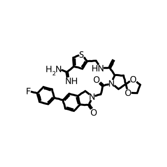 C=C(NCc1cc(C(=N)N)cs1)C1CC2(CN1C(=O)CN1Cc3cc(-c4ccc(F)cc4)ccc3C1=O)OCCO2